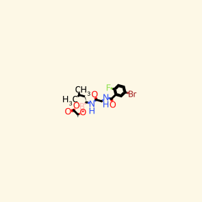 CC(C)C[C@H](NC(=O)CNC(=O)c1cc(Br)ccc1F)B1O[CH]C(=O)O1